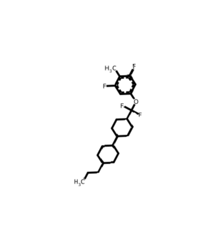 CCCC1CCC(C2CCC(C(F)(F)Oc3cc(F)c(C)c(F)c3)CC2)CC1